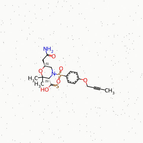 CC#CCOc1ccc(S(=O)(=O)N2C[C@H](CC(N)=O)OC(C)(C)[C@H]2C(O)=S)cc1